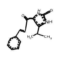 CC(C)c1[nH]c(=O)[nH]c1C(=O)C=Cc1ccccc1